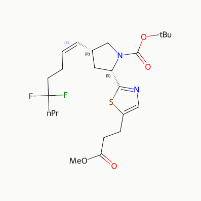 CCCC(F)(F)CC/C=C\[C@H]1C[C@@H](c2ncc(CCC(=O)OC)s2)N(C(=O)OC(C)(C)C)C1